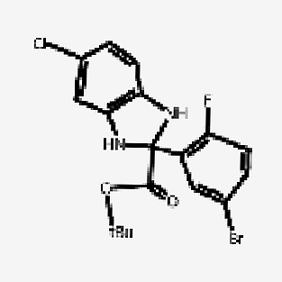 CC(C)(C)OC(=O)C1(c2cc(Br)ccc2F)Nc2ccc(Cl)cc2N1